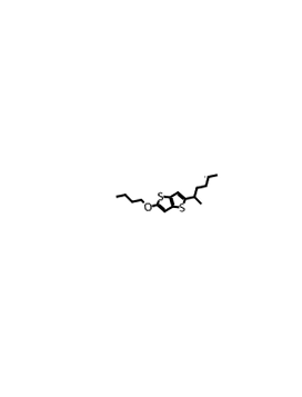 C[CH]CCC(C)c1cc2sc(OCCCC)cc2s1